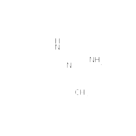 CC1=CC=CNN1N